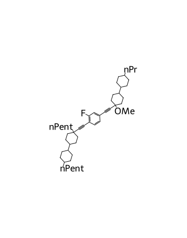 CCCCCC1CCC(C2CCC(C#Cc3ccc(C#CC4(OC)CCC(C5CCC(CCC)CC5)CC4)cc3F)(CCCCC)CC2)CC1